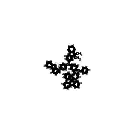 CC1(C)c2ccccc2-c2ccc(N(c3ccc(-c4cccc5c4oc4ccccc45)cc3)c3ccc4c(c3)c3cc(C5(c6ccccc6)c6ccccc6-c6ccccc65)ccc3n4-c3ccccc3)cc21